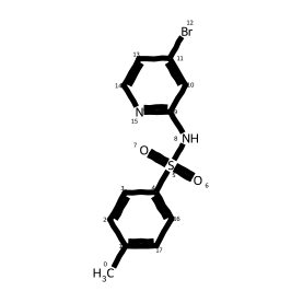 Cc1ccc(S(=O)(=O)Nc2cc(Br)ccn2)cc1